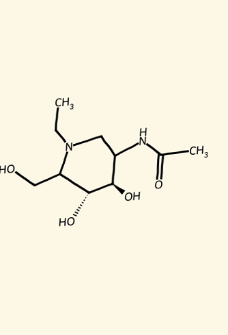 CCN1CC(NC(C)=O)[C@@H](O)[C@H](O)C1CO